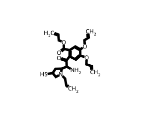 C=CCOC(=O)c1cc(OCC=C)c(OCC=C)cc1C(=O)C(N)C1CC(S)CN1CC=C